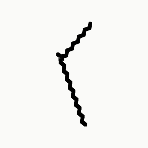 CCCCCCCCCCCCCCCCN(C)CCCCCCCCCC